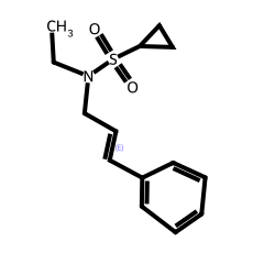 CCN(C/C=C/c1ccccc1)S(=O)(=O)C1CC1